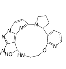 Nc1nn2ccc3nc2c1C(O)NCCOc1ncccc1C1CCCN31